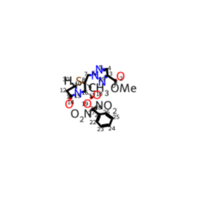 COC(=O)c1cnn(C[C@]2(C)S[C@H]3CC(=O)N3[C@H]2C(=O)OC(c2ccccc2)([N+](=O)[O-])[N+](=O)[O-])n1